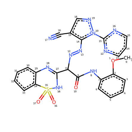 COc1ccccc1NC(=O)C(N=Nc1c(C#N)cnn1-c1ncccn1)C1=Nc2ccccc2S(=O)(=O)N1